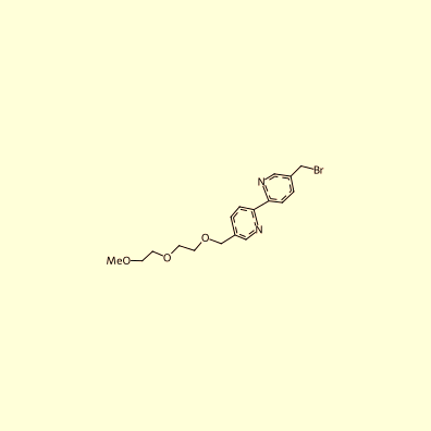 COCCOCCOCc1ccc(-c2ccc(CBr)cn2)nc1